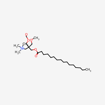 CCCCCCCCCCCCCCCC(=O)OCC(COC)(COC=O)C[N+](C)(C)C